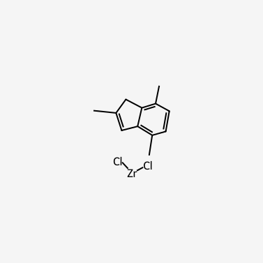 CC1=Cc2c(C)ccc(C)c2C1.[Cl][Zr][Cl]